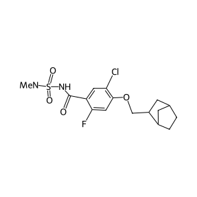 CNS(=O)(=O)NC(=O)c1cc(Cl)c(OCC2CC3CCC2C3)cc1F